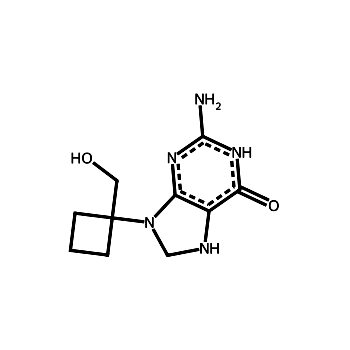 Nc1nc2c(c(=O)[nH]1)NCN2C1(CO)CCC1